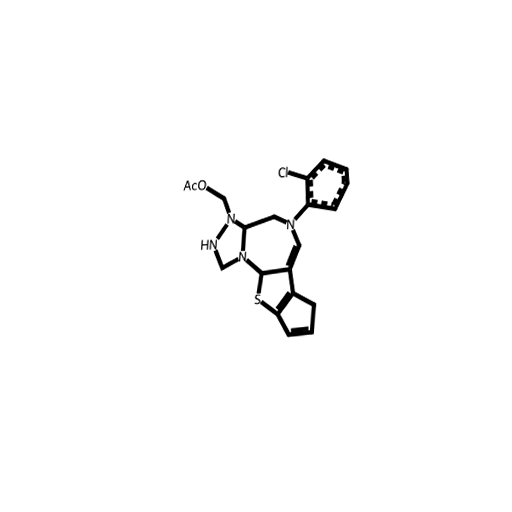 CC(=O)OCN1NCN2C3SC4=C(CC=C4)C3=CN(c3ccccc3Cl)CC12